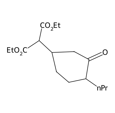 CCCC1CCC(C(C(=O)OCC)C(=O)OCC)CC1=O